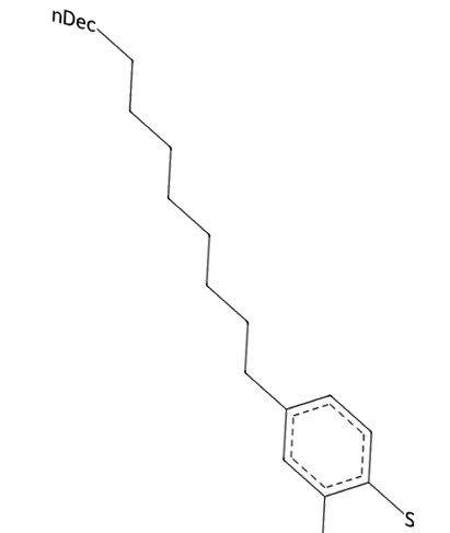 CCCCCCCCCCCCCCCCCCc1ccc(S(=O)(=O)O)c(O)c1